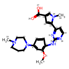 COc1cc(N2CCCN(C)CC2)ccc1Nc1nccc(-c2cc(C(=O)O)cn2C)n1